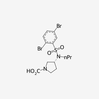 CCCN([C@@H]1CCN(C(=O)O)C1)S(=O)(=O)c1cc(Br)ccc1Br